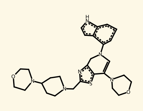 C1=C(N2CCOCC2)c2sc(CN3CCC(N4CCOCC4)CC3)nc2CN1c1cccc2[nH]ccc12